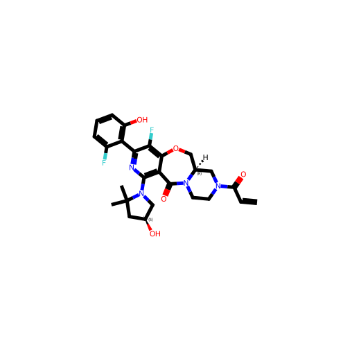 C=CC(=O)N1CCN2C(=O)c3c(N4C[C@@H](O)CC4(C)C)nc(-c4c(O)cccc4F)c(F)c3OC[C@H]2C1